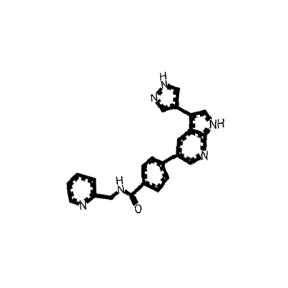 O=C(NCc1ccccn1)c1ccc(-c2cnc3[nH]cc(-c4cn[nH]c4)c3c2)cc1